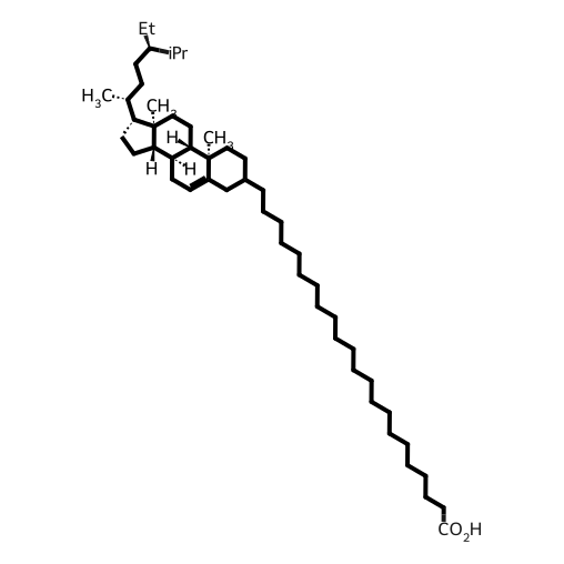 CC[C@H](CC[C@@H](C)[C@H]1CC[C@H]2[C@@H]3CC=C4CC(CCCCCCCCCCCCCCCCCCCCCC(=O)O)CC[C@]4(C)[C@H]3CC[C@]12C)C(C)C